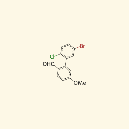 COc1ccc(C=O)c(-c2cc(Br)ccc2Cl)c1